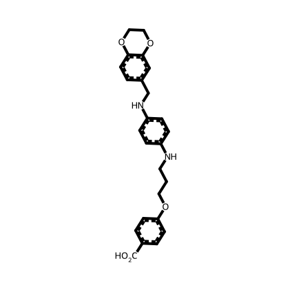 O=C(O)c1ccc(OCCCNc2ccc(NCc3ccc4c(c3)OCCO4)cc2)cc1